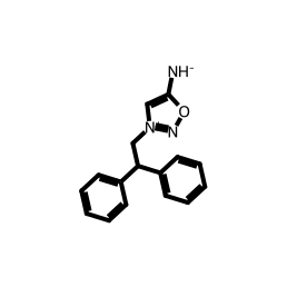 [NH-]c1c[n+](CC(c2ccccc2)c2ccccc2)no1